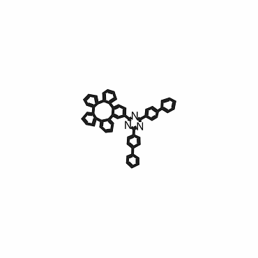 c1ccc(-c2ccc(-c3nc(-c4ccc(-c5ccccc5)cc4)nc(-c4ccc5c6ccccc6c6ccccc6c6ccccc6c6ccccc6c5c4)n3)cc2)cc1